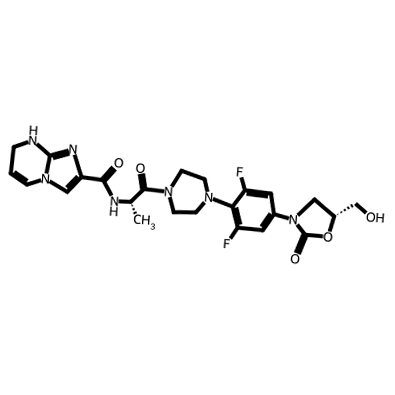 C[C@H](NC(=O)c1cn2c(n1)NCC=C2)C(=O)N1CCN(c2c(F)cc(N3C[C@H](CO)OC3=O)cc2F)CC1